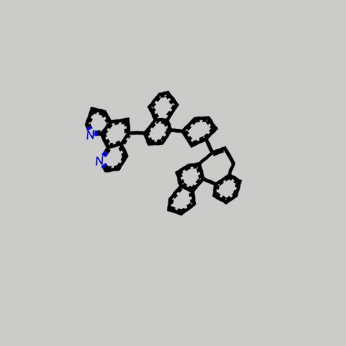 C1=C(c2cccc(-c3ccc(-c4cc5cccnc5c5ncccc45)c4ccccc34)c2)c2ccc3ccccc3c2-c2ccccc2C1